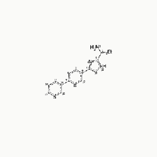 CCC(N)c1nc(-c2ccc(-c3ccccc3)cc2)c[nH]1